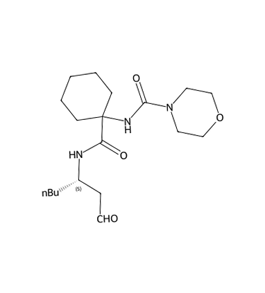 CCCC[C@@H](CC=O)NC(=O)C1(NC(=O)N2CCOCC2)CCCCC1